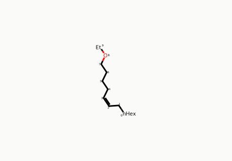 CCCCCCC/C=C\CCCCOCC